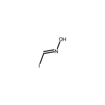 O/N=C/I